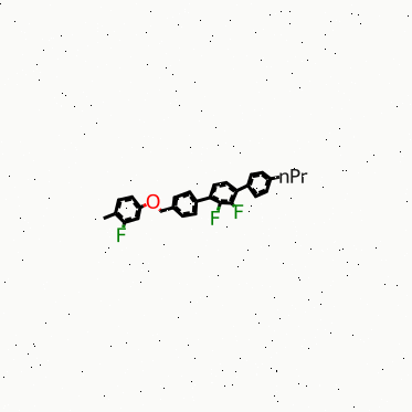 CCCc1ccc(-c2ccc(-c3ccc(COc4ccc(C)c(F)c4)cc3)c(F)c2F)cc1